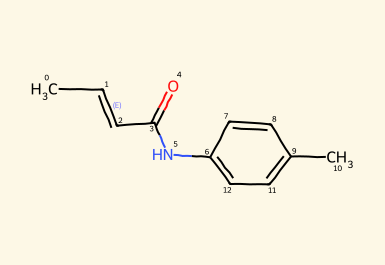 C/C=C/C(=O)Nc1ccc(C)cc1